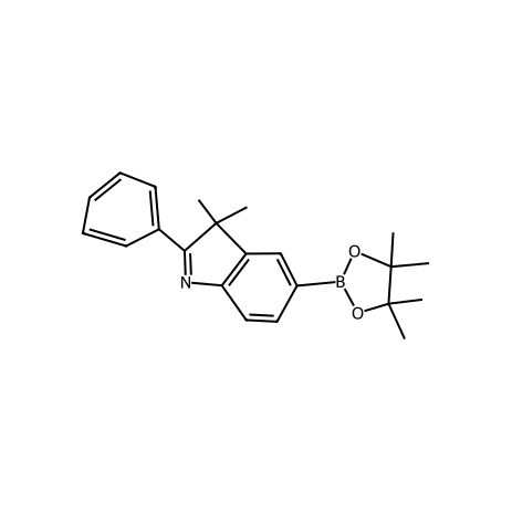 CC1(C)C(c2ccccc2)=Nc2ccc(B3OC(C)(C)C(C)(C)O3)cc21